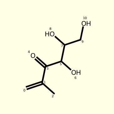 C=C(C)C(=O)C(O)C(O)CO